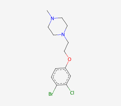 CN1CCN(CCOc2ccc(Br)c(Cl)c2)CC1